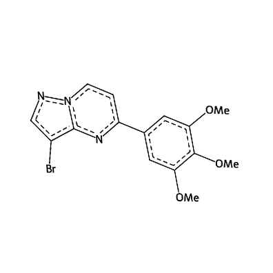 COc1cc(-c2ccn3ncc(Br)c3n2)cc(OC)c1OC